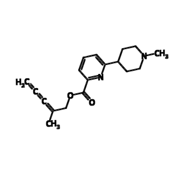 C=C=C=C(C)COC(=O)c1cccc(C2CCN(C)CC2)n1